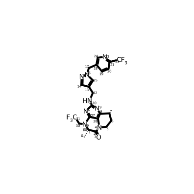 C[C@H]1C(=O)N2CCCc3nc(NCc4cnn(Cc5ccc(C(F)(F)F)nc5)c4)nc(c32)N1CC(F)(F)F